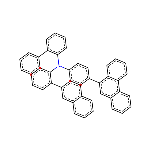 c1ccc(-c2ccccc2N(c2ccc(-c3cc4ccccc4c4ccccc34)cc2)c2ccccc2-c2ccc3ccccc3c2)cc1